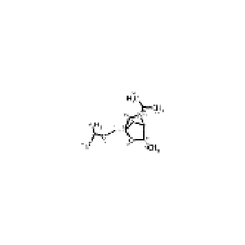 CC(C)OC[C@]12CC([C@H](C)O1)N(C(C)C)C2